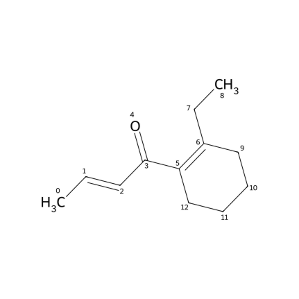 CC=CC(=O)C1=C(CC)CCCC1